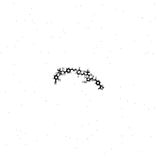 Cc1ncsc1-c1ccc([C@H](C)NC(=O)C2C[C@@H](O)CN2C(=O)[C@@H](NC(=O)CN2C[C@H](C)N(CCCc3ccc(C(=O)N[C@H]4C(C)(C)[C@H](Oc5ccc(C#N)c(Cl)c5)C4(C)C)cc3)C[C@H]2C)C(C)(C)C)cc1